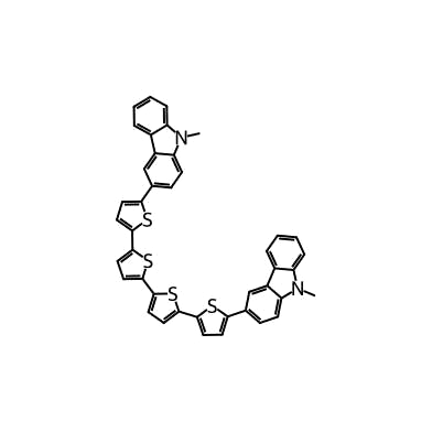 Cn1c2ccccc2c2cc(-c3ccc(-c4ccc(-c5ccc(-c6ccc(-c7ccc8c(c7)c7ccccc7n8C)s6)s5)s4)s3)ccc21